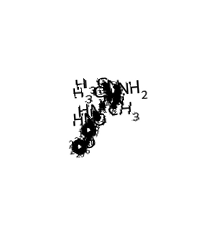 Cc1nc(N)c2nc(C)n(CCNC(=O)Nc3ccc(Oc4ccccc4)cc3)c2c1C